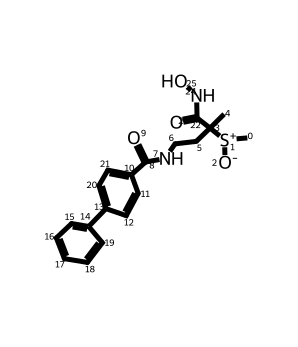 C[S+]([O-])C(C)(CCNC(=O)c1ccc(-c2ccccc2)cc1)C(=O)NO